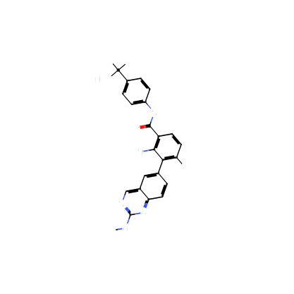 CNc1ncc2cc(-c3c(C)ccc(C(=O)Nc4ccc(C(C)(C)C)cc4)c3N)ccc2n1